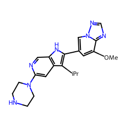 COc1cc(-c2[nH]c3cnc(N4CCNCC4)cc3c2C(C)C)cn2ncnc12